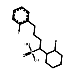 O=P(O)(O)C(CCCc1ccccc1F)C1CCCCC1F